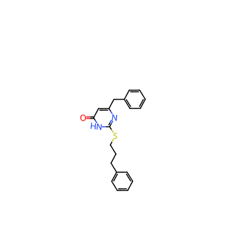 O=c1cc(Cc2ccccc2)nc(SCCCc2ccccc2)[nH]1